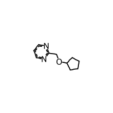 c1cnc(COC2CCCC2)nc1